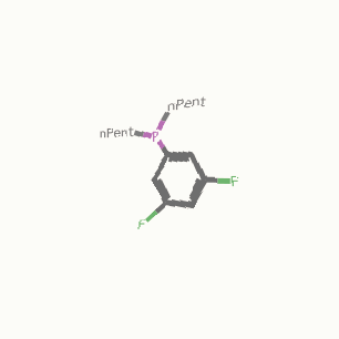 CCCCCP(CCCCC)c1cc(F)cc(F)c1